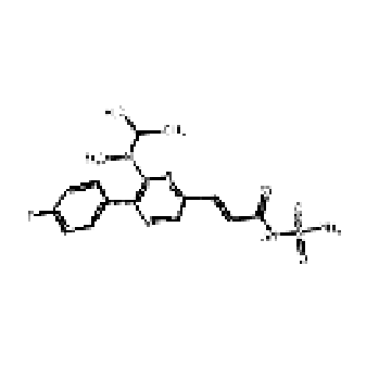 CC(C)N(C)c1nc(/C=C/C(=O)NS(N)(=O)=O)cnc1-c1ccc(F)cc1